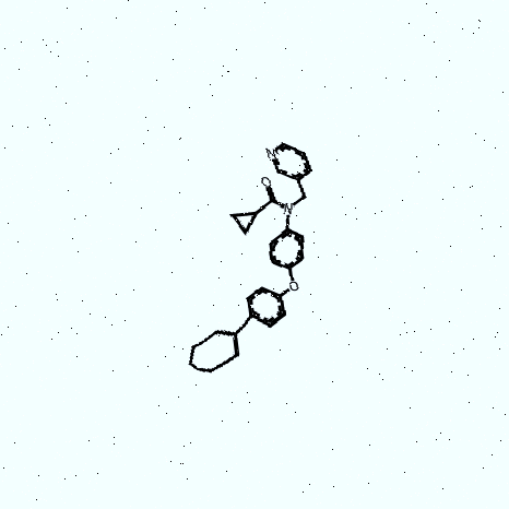 O=C(C1CC1)N(Cc1cccnc1)c1ccc(Oc2ccc(C3CCCCC3)cc2)cc1